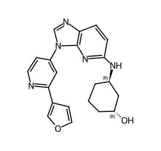 O[C@@H]1CCC[C@@H](Nc2ccc3ncn(-c4ccnc(-c5ccoc5)c4)c3n2)C1